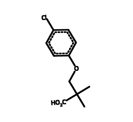 CC(C)(COc1ccc(Cl)cc1)C(=O)O